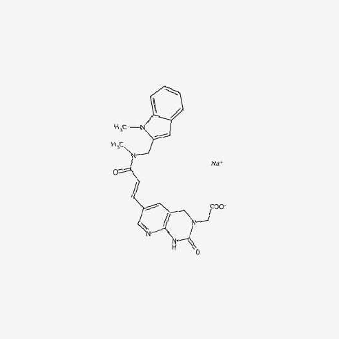 CN(Cc1cc2ccccc2n1C)C(=O)C=Cc1cnc2c(c1)CN(CC(=O)[O-])C(=O)N2.[Na+]